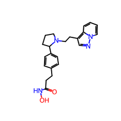 O=C(CCc1ccc(C2CCCN2CCc2cnn3ccccc23)cc1)NO